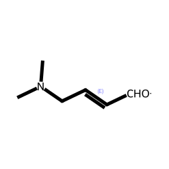 CN(C)C/C=C/[C]=O